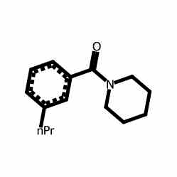 CCCc1cccc(C(=O)N2CCCCC2)c1